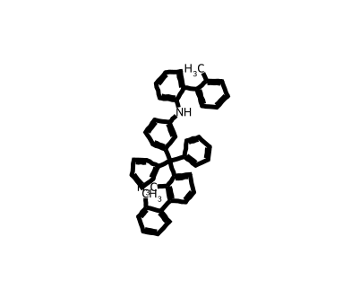 Cc1ccccc1-c1ccccc1Nc1cccc(C(c2ccccc2)(c2ccccc2)c2cccc(-c3ccccc3C)c2C)c1